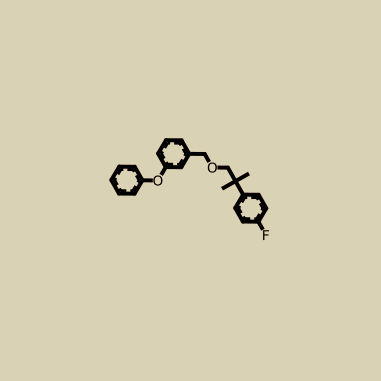 CC(C)(COCc1cccc(Oc2ccccc2)c1)c1ccc(F)cc1